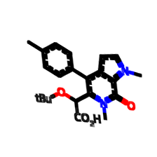 Cc1ccc(-c2c(C(OC(C)(C)C)C(=O)O)n(C)c(=O)c3c2ccn3C)cc1